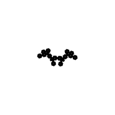 Cc1c(-c2ccccc2)c2cc(-c3ccc4c(c3)c(-c3ccccc3)c(C)n4-c3ccc(N(c4ccccc4)c4ccc(-c5ccccc5)c5ccccc45)cc3)ccc2n1-c1ccc(N(c2ccccc2)c2ccc(-c3ccccc3)c3ccccc23)cc1